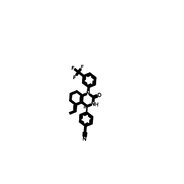 CC=C1CCCC2=C1[C@H](c1ccc(C#N)cc1)NC(=O)N2c1cccc(C(F)(F)F)c1